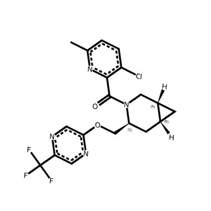 Cc1ccc(Cl)c(C(=O)N2C[C@@H]3C[C@@H]3C[C@H]2COc2cnc(C(F)(F)F)cn2)n1